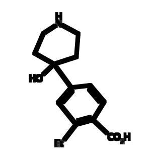 CCc1cc(C2(O)CCNCC2)ccc1C(=O)O